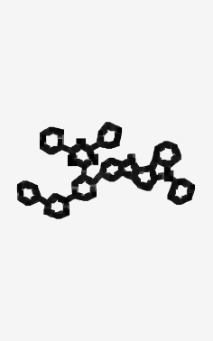 c1ccc(-c2cccc(-c3ccc(-c4ccc5sc6c(ccc7c6c6ccccc6n7-c6ccccc6)c5c4)c(-c4nc(-c5ccccc5)nc(-c5ccccc5)n4)c3)c2)cc1